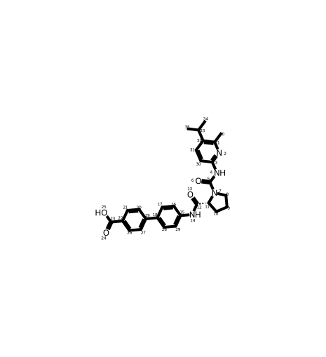 Cc1nc(NC(=O)N2CCC[C@@H]2C(=O)Nc2ccc(-c3ccc(C(=O)O)cc3)cc2)ccc1C(C)C